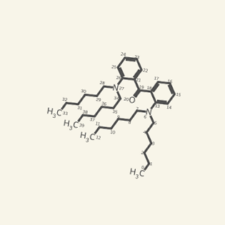 CCCCCCN(CCCCCC)c1ccccc1C(=O)c1ccccc1N(CCCCCC)CCCCCC